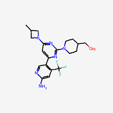 CC1CN(c2cc(-c3cnc(N)cc3C(F)(F)F)nc(N3CCC(CO)CC3)n2)C1